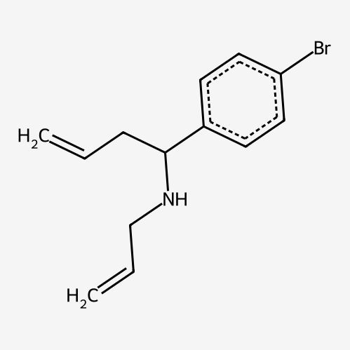 C=CCNC(CC=C)c1ccc(Br)cc1